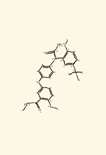 CNC(=O)c1cc(Oc2ccc(N(C(N)=O)c3cc(C(C)(C)C)ccc3OC)cc2)ccc1OC